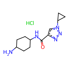 Cl.NC1CCC(NC(=O)c2cn(C3CC3)nn2)CC1